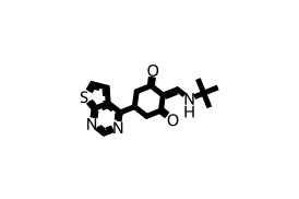 CC(C)(C)NC=C1C(=O)CC(c2ncnc3sccc23)CC1=O